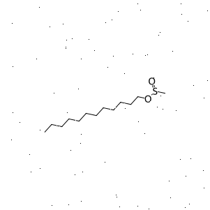 CCCCCCCCCCCCOS(C)=O